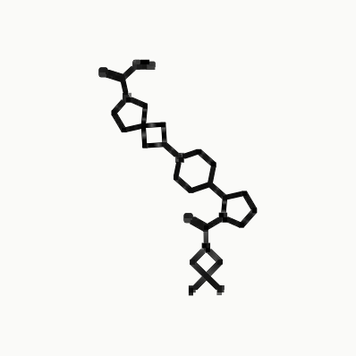 COC(=O)N1CCC2(CC(N3CCC(C4CCCN4C(=O)N4CC(F)(F)C4)CC3)C2)C1